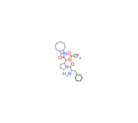 N[C@@H](Cc1ccccc1)C(=O)N1CCCC1C(OC(=O)C(F)(F)F)C(=O)NC1CCCCCCC1